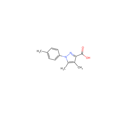 Cc1ccc(-n2nc(C(=O)O)c(C)c2C)cc1